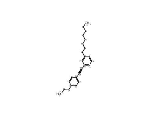 CCCCCCCCc1ccnc(C#Cc2ccc(CCC)cc2)c1